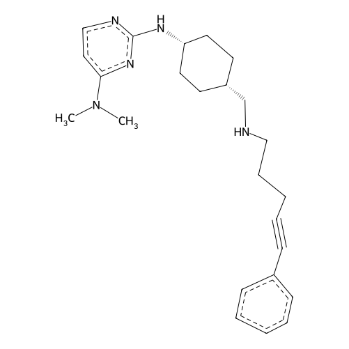 CN(C)c1ccnc(N[C@H]2CC[C@@H](CNCCCC#Cc3ccccc3)CC2)n1